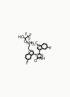 Cn1cc(-c2n[nH]c(=O)n2-c2cn(CCN)c3ccc(F)cc23)c2cc(F)ccc21.O=C(O)C(F)(F)F